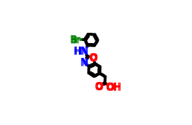 O=C(O)Cc1ccc2nc(Nc3ccccc3Br)oc2c1